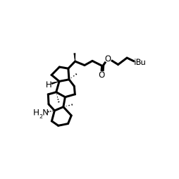 CCC(C)CCOC(=O)CC[C@H](C)C1CC[C@@H]2[C@]1(C)CCC1[C@@]2(C)CC[C@]2(N)CCCC[C@]12C